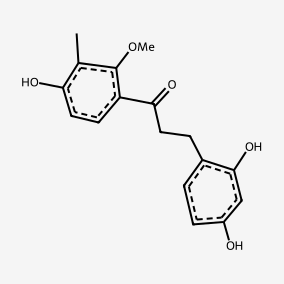 COc1c(C(=O)CCc2ccc(O)cc2O)ccc(O)c1C